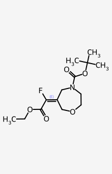 CCOC(=O)/C(F)=C1\COCCN(C(=O)OC(C)(C)C)C1